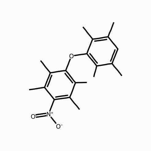 Cc1cc(C)c(C)c(Oc2c(C)c(C)c([N+](=O)[O-])c(C)c2C)c1C